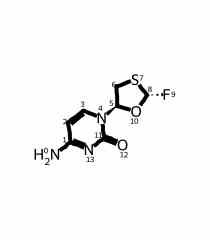 Nc1ccn([C@H]2CS[C@H](F)O2)c(=O)n1